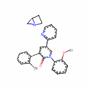 C1CN2CC12.CCOc1ccccc1-n1cc(-c2ccccn2)cc(-c2ccccc2C#N)c1=O